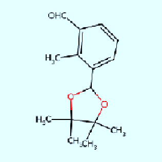 Cc1c(C=O)cccc1C1OC(C)(C)C(C)(C)O1